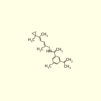 C=C(C)c1cc(C)cc(C(=C)NC/C(C)=C/C=C(\C)C2(C)CC2)c1